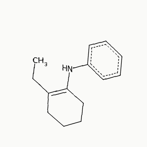 CCC1=C(Nc2ccccc2)CCCC1